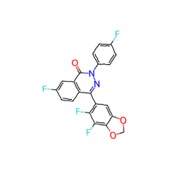 O=c1c2cc(F)ccc2c(-c2cc3c(c(F)c2F)OCO3)nn1-c1ccc(F)cc1